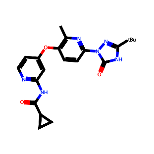 Cc1nc(-n2nc(C(C)(C)C)[nH]c2=O)ccc1Oc1ccnc(NC(=O)C2CC2)c1